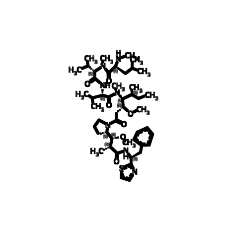 CC[C@H](C)[C@@H]([C@@H](CC(=O)N1CCC[C@H]1[C@H](OC)[C@@H](C)C(=O)N[C@@H](Cc1ccccc1)c1nccs1)OC)N(C)C(=O)[C@@H](NC(=O)[C@H](C(C)C)N(C)C(=O)[C@H](CC(C)C)NC)C(C)C